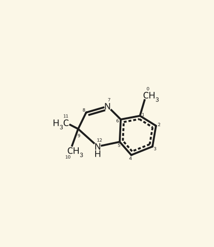 Cc1cccc2c1N=CC(C)(C)N2